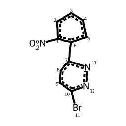 O=[N+]([O-])c1ccccc1-c1ccc(Br)nn1